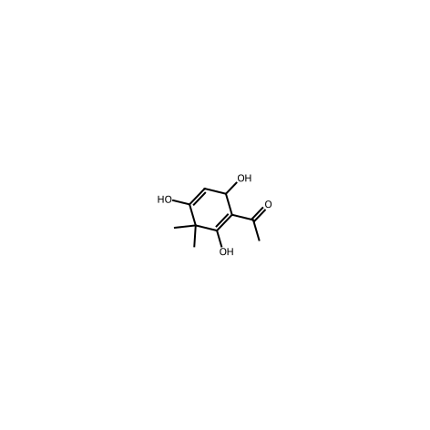 CC(=O)C1=C(O)C(C)(C)C(O)=CC1O